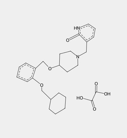 O=C(O)C(=O)O.O=c1[nH]cccc1CN1CCC(OCc2ccccc2OCC2CCCCC2)CC1